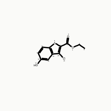 CCOC(=O)c1sc2ccc(O)cc2c1Cl